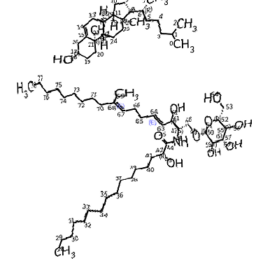 CC(C)CCC[C@@H](C)[C@H]1CC[C@H]2[C@@H]3CC=C4C[C@@H](O)CC[C@]4(C)[C@H]3CC[C@]12C.CCCCCCCCCCCCCC[C@@H](O)C(=O)N[C@@H](CO[C@@H]1O[C@H](CO)[C@@H](O)[C@H](O)[C@H]1O)[C@H](O)/C=C/CC/C=C(\C)CCCCCCCCC